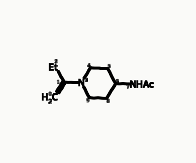 C=C(CC)N1CCC(NC(C)=O)CC1